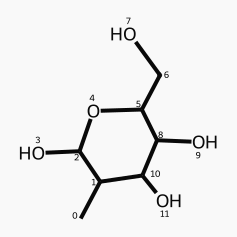 CC1C(O)OC(CO)C(O)C1O